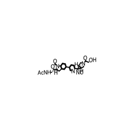 [C-]#[N+][C@]1(c2ccc(-c3ccc4c(c3)C[C@H]3[C@H](CNC(C)=O)OC(=O)N43)cn2)[C@@H]2CN(C(=O)CO)C[C@@H]21